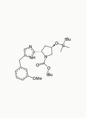 COc1cccc(Cc2cnc([C@@H]3C[C@@H](O[Si](C)(C)C(C)(C)C)CN3C(=O)OC(C)(C)C)[nH]2)c1